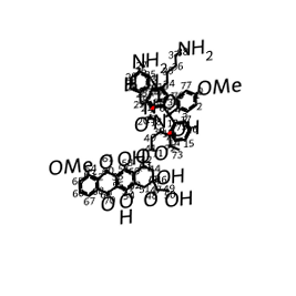 COc1ccc(C(c2ccccc2)(c2ccccc2)N(C(=O)N(Cc2ccc(N)cc2)C(=O)[C@@H](N)CCCCN)C2CC(O[C@H]3C[C@](O)(C(=O)CO)Cc4c(O)c5c(c(O)c43)C(=O)c3c(OC)cccc3C5=O)OC(C)C2O)cc1